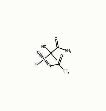 CCS(=O)(=NC(=O)C(F)(F)F)C(C)(C#N)C(N)=O